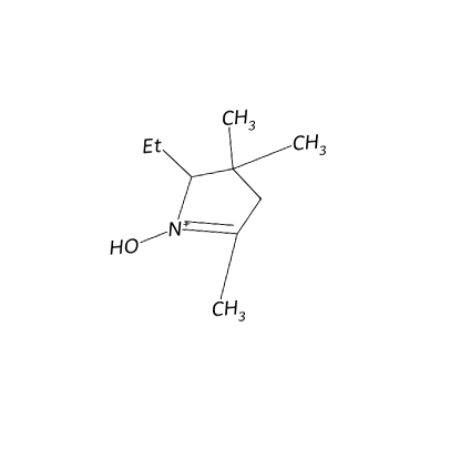 CCC1[N+](O)=C(C)CC1(C)C